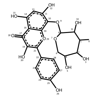 CC1C(O)C(O)COC(Oc2c(O)cc(O)c3c(=O)c(O)c(-c4ccc(O)cc4)oc23)C1O